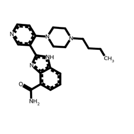 CCCCN1CCN(c2ccncc2-c2nc3c(C(N)=O)cccc3[nH]2)CC1